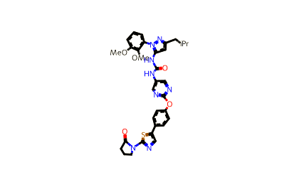 COc1cccc(-n2nc(CC(C)C)cc2NC(=O)Nc2cnc(Oc3ccc(-c4cnc(N5CCCC5=O)s4)cc3)nc2)c1OC